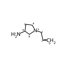 C=CCN1CCC(N)C1